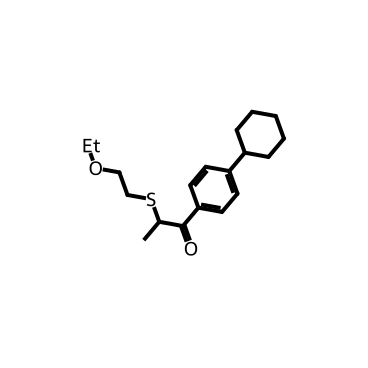 CCOCCSC(C)C(=O)c1ccc(C2CCCCC2)cc1